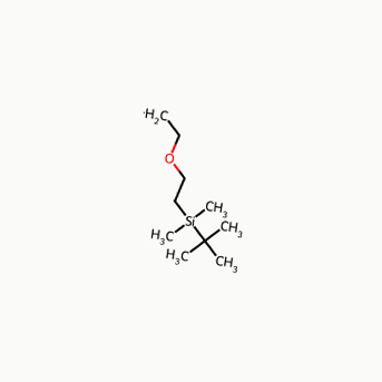 [CH2]COCC[Si](C)(C)C(C)(C)C